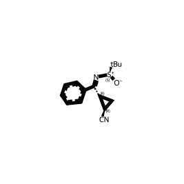 CC(C)(C)[S@@+]([O-])N=C(c1ccccc1)[C@@H]1C[C@H]1C#N